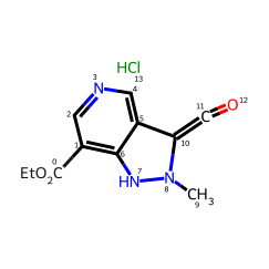 CCOC(=O)c1cncc2c1NN(C)C2=C=O.Cl